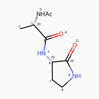 CC(=O)N[C@@H](C)C(=O)N[C@H]1CCNC1=O